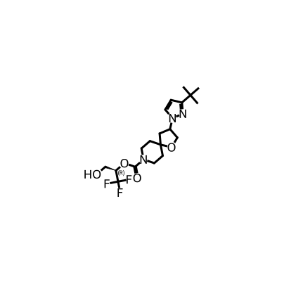 CC(C)(C)c1ccn(C2COC3(CCN(C(=O)O[C@H](CO)C(F)(F)F)CC3)C2)n1